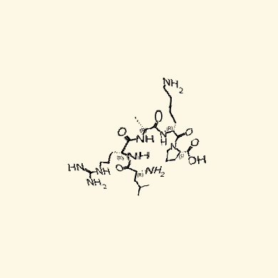 CC(C)C[C@@H](N)C(=O)N[C@H](CCCNC(=N)N)C(=O)N[C@H](C)C(=O)N[C@H](CCCCN)C(=O)N1CCC[C@H]1C(=O)O